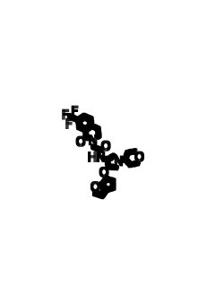 O=C(CN1CCc2ccc(C(F)(F)F)cc2C1=O)NC1CN(C2CCOCC2)C[C@@H]1OC1CCc2ccoc21